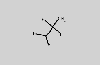 CC(F)(F)C(F)F